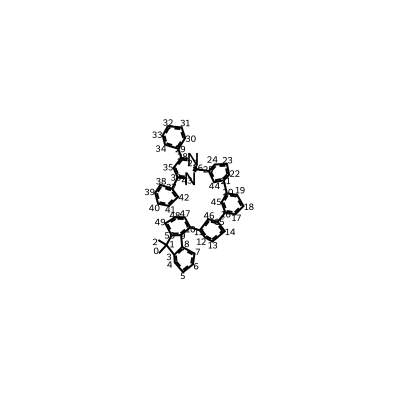 CC1(C)c2ccccc2-c2c(-c3cccc(-c4cccc(-c5cccc(-c6nc(-c7ccccc7)cc(-c7ccccc7)n6)c5)c4)c3)cccc21